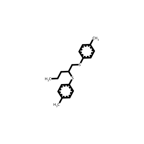 CCCC(CSc1ccc(C)cc1)Sc1ccc(C)cc1